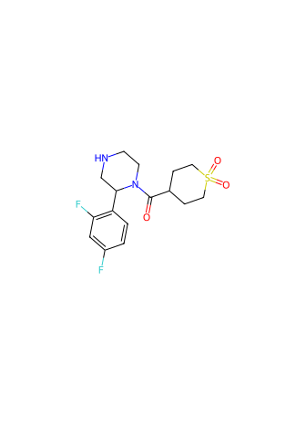 O=C(C1CCS(=O)(=O)CC1)N1CCNCC1c1ccc(F)cc1F